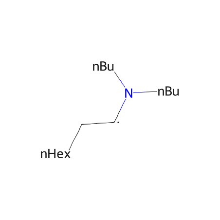 CCCCCCC[CH]N(CCCC)CCCC